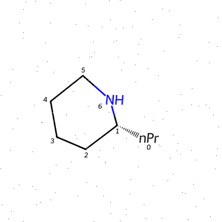 CCC[C@@H]1CCCCN1